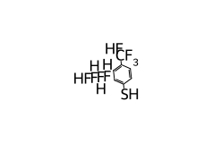 F.F.F.F.F.FC(F)(F)c1ccc(S)cc1